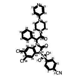 N#Cc1ccc(S(=O)(=O)n2c(=O)n(C(C(=O)N3CCN(c4ccncc4)CC3)c3ccccc3)c3cc(Cl)c(Cl)cc32)cc1